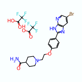 NC(=O)C1CCN(CCOc2ccc(-c3nc4cc(Br)cnc4[nH]3)cc2)CC1.O=C(O)C(F)(F)F.O=C(O)C(F)(F)F